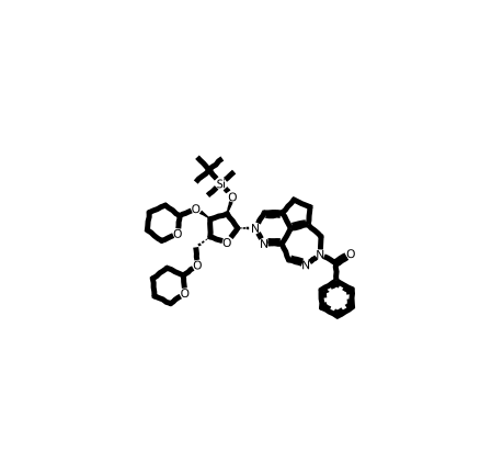 CC(C)(C)[Si](C)(C)O[C@@H]1[C@H](OC2CCCCO2)[C@@H](COC2CCCCO2)O[C@H]1N1C=C2CCC3=C2C(=N1)C=NN(C(=O)c1ccccc1)C3